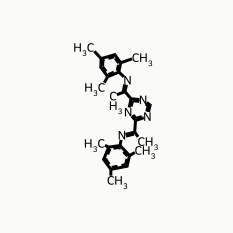 C/C(=N\c1c(C)cc(C)cc1C)c1ncnc(/C(C)=N/c2c(C)cc(C)cc2C)n1